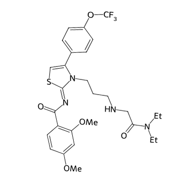 CCN(CC)C(=O)CNCCCn1c(-c2ccc(OC(F)(F)F)cc2)cs/c1=N\C(=O)c1ccc(OC)cc1OC